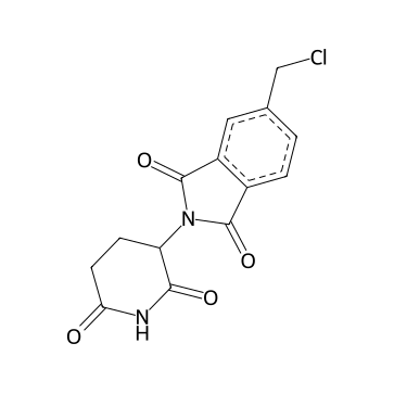 O=C1CCC(N2C(=O)c3ccc(CCl)cc3C2=O)C(=O)N1